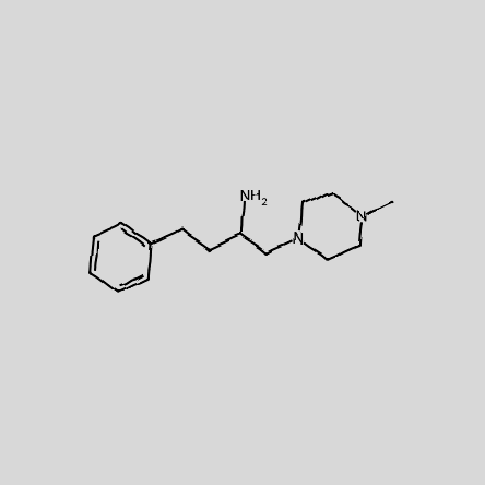 CN1CCN(CC(N)CCc2ccccc2)CC1